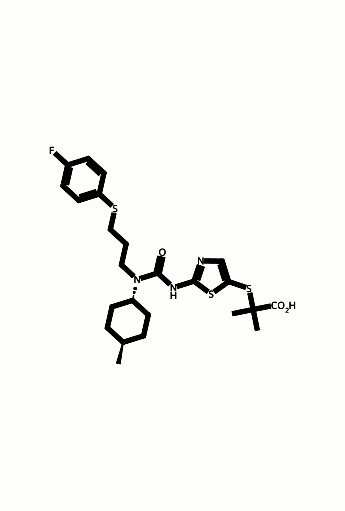 CC(C)(Sc1cnc(NC(=O)N(CCCSc2ccc(F)cc2)[C@H]2CC[C@H](C)CC2)s1)C(=O)O